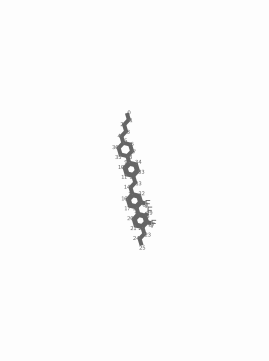 CCCCCC1CCC(c2ccc(CCc3ccc(-c4ccc(CCC)c(F)c4F)c(F)c3)cc2)CC1